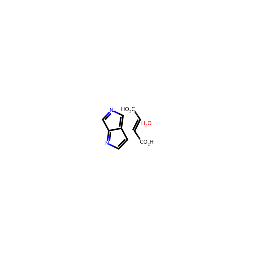 C1=CC2=CN=CC2=N1.O.O=C(O)/C=C/C(=O)O